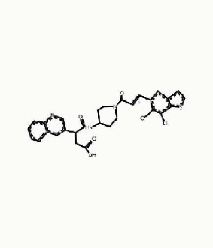 O=C(O)CC(C(=O)NC1CCN(C(=O)/C=C/c2cc3ccsc3c(Cl)c2Cl)CC1)c1cnc2ccccc2c1